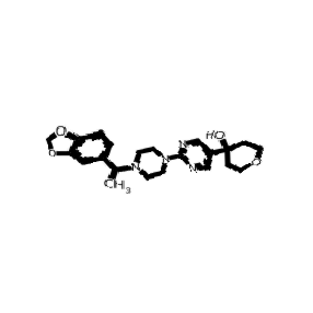 CC(c1ccc2c(c1)OCO2)N1CCN(c2ncc(C3(O)CCOCC3)cn2)CC1